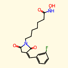 O=C(CCCCCCN1C(=O)CC(=Cc2cccc(F)c2)C1=O)NO